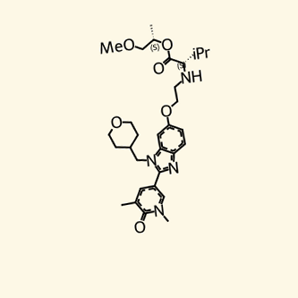 COC[C@H](C)OC(=O)[C@@H](NCCOc1ccc2nc(-c3cc(C)c(=O)n(C)c3)n(CC3CCOCC3)c2c1)C(C)C